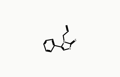 C=CCn1c(-c2ccccc2)csc1=S